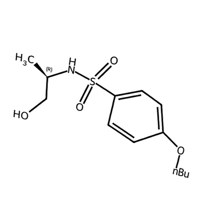 CCCCOc1ccc(S(=O)(=O)N[C@H](C)CO)cc1